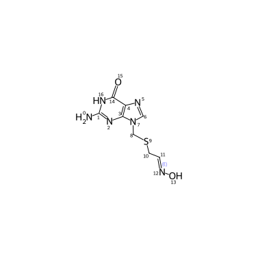 Nc1nc2c(ncn2CSC/C=N/O)c(=O)[nH]1